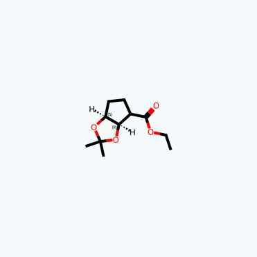 CCOC(=O)C1CC[C@@H]2OC(C)(C)O[C@H]12